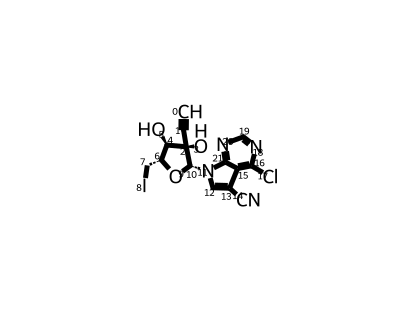 C#C[C@@]1(O)[C@H](O)[C@@H](CI)O[C@H]1n1cc(C#N)c2c(Cl)ncnc21